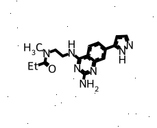 CCC(=O)N(C)CCNc1nc(N)nc2cc(-c3ccn[nH]3)ccc12